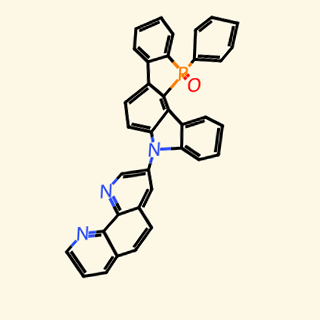 O=P1(c2ccccc2)c2ccccc2-c2ccc3c(c21)c1ccccc1n3-c1cnc2c(ccc3cccnc32)c1